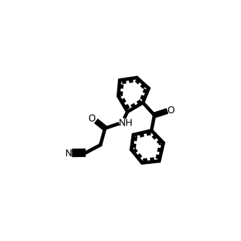 N#CCC(=O)Nc1ccccc1C(=O)c1ccccc1